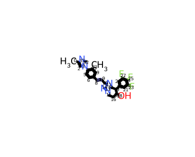 Cc1cn(-c2ccc(/C=C/c3nc4n(n3)CC[C@H](O)C4c3cc(F)c(F)c(F)c3)cc2C)cn1